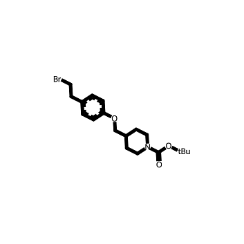 CC(C)(C)OC(=O)N1CCC(COc2ccc(CCBr)cc2)CC1